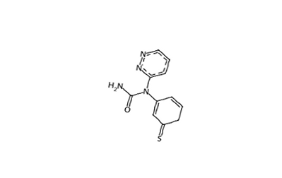 NC(=O)N(C1=CC(=S)CC=C1)c1cccnn1